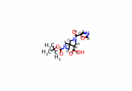 CC(C)(C)OC(=O)N1CC2(C1)CN(C(=O)c1cnco1)C[C@H]2C(=O)O